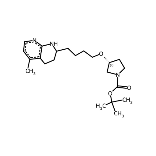 Cc1ccnc2c1CCC(CCCCO[C@@H]1CCN(C(=O)OC(C)(C)C)C1)N2